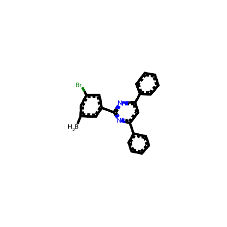 Bc1cc(Br)cc(-c2nc(-c3ccccc3)cc(-c3ccccc3)n2)c1